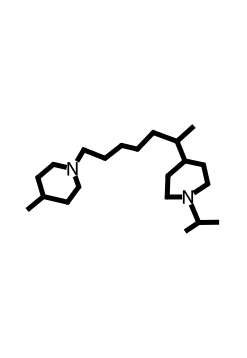 CC1CCN(CCCCCC(C)C2CCN(C(C)C)CC2)CC1